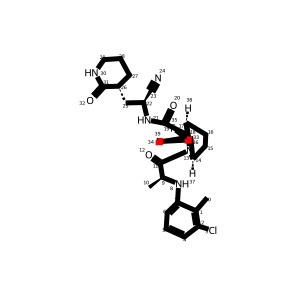 Cc1c(Cl)cccc1N[C@@H](C)C(=O)N1[C@@H]2CC[C@H]([C@H]1C(=O)N[C@H](C#N)C[C@H]1CCCNC1=O)C(F)(F)C2